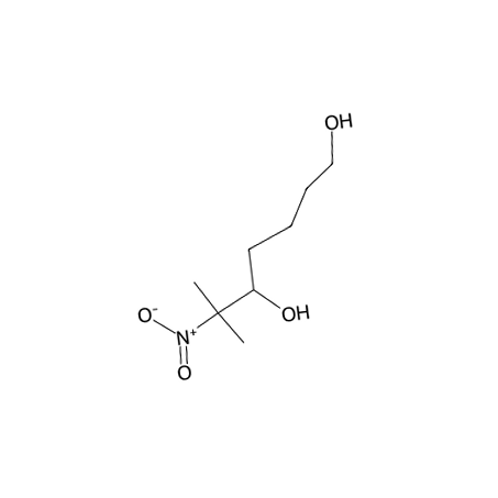 CC(C)(C(O)CCCCO)[N+](=O)[O-]